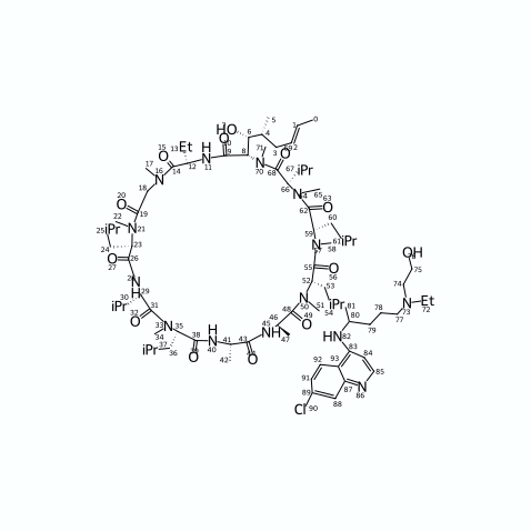 C/C=C/C[C@@H](C)[C@@H](O)[C@H]1C(=O)N[C@@H](CC)C(=O)N(C)CC(=O)N(C)[C@@H](CC(C)C)C(=O)N[C@@H](C(C)C)C(=O)N(C)[C@@H](CC(C)C)C(=O)N[C@@H](C)C(=O)N[C@H](C)C(=O)N(C)[C@@H](CC(C)C)C(=O)N(C)[C@@H](CC(C)C)C(=O)N(C)[C@@H](C(C)C)C(=O)N1C.CCN(CCO)CCCC(C)Nc1ccnc2cc(Cl)ccc12